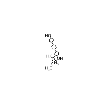 CCCCCC(C)(C)c1cc(C2C=CC(c3ccc(O)cc3)CC2)ccc1O